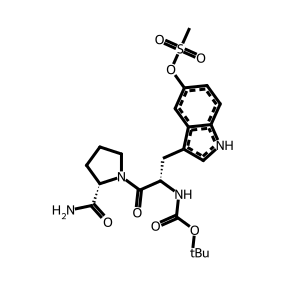 CC(C)(C)OC(=O)N[C@@H](Cc1c[nH]c2ccc(OS(C)(=O)=O)cc12)C(=O)N1CCC[C@H]1C(N)=O